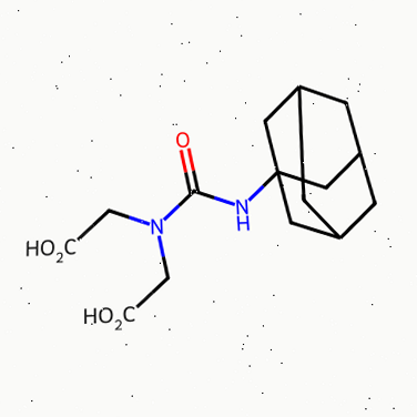 O=C(O)CN(CC(=O)O)C(=O)NC12CC3CC(CC(C3)C1)C2